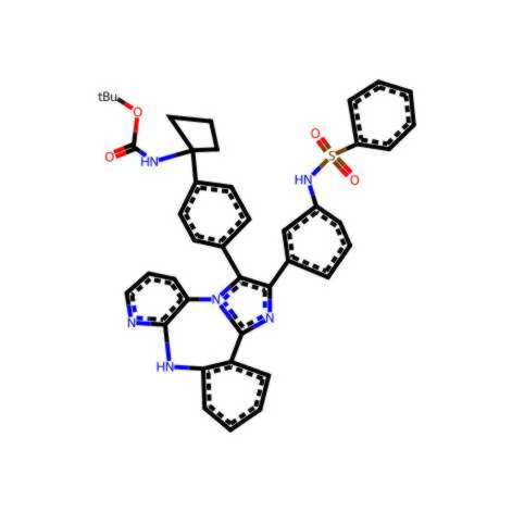 CC(C)(C)OC(=O)NC1(c2ccc(-c3c(-c4cccc(NS(=O)(=O)c5ccccc5)c4)nc4n3-c3cccnc3Nc3ccccc3-4)cc2)CCC1